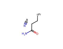 B#N.CCCCCC(N)=O